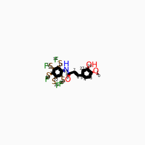 COc1ccc(C=CC(=O)Nc2c(SF)c(SF)c(SF)c(SF)c2SF)cc1O